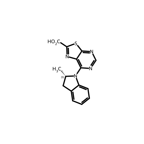 C[C@H]1Cc2ccccc2N1c1ncnc2sc(C(=O)O)nc12